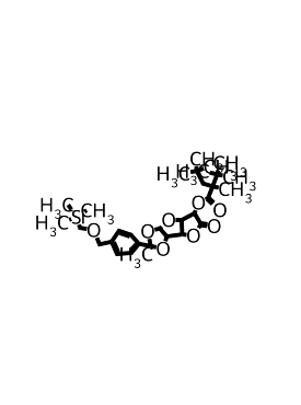 CC(C)(C)CC(C)(C(=O)OC1C(=O)OC2C3OC(C)(c4ccc(COC[Si](C)(C)C)cc4)OC3OC12)C(C)(C)C